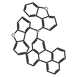 c1ccc2c(c1)oc1cccc(N(c3cc4cccc5c6cccc7cccc(c(c3)c45)c76)c3cccc4oc5ccccc5c34)c12